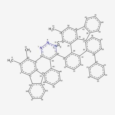 Cc1cc2c(c(-c3nnnc(-c4cccc(-c5ccccc5-c5ccccc5)c4-c4c(C)c(C)cc5c4Cc4ccccc4-5)c3-c3ccccc3)c1C)Cc1ccccc1-2